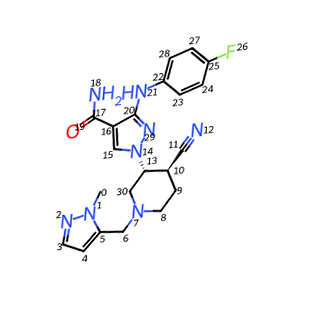 Cn1nccc1CN1CC[C@H](C#N)[C@@H](n2cc(C(N)=O)c(Nc3ccc(F)cc3)n2)C1